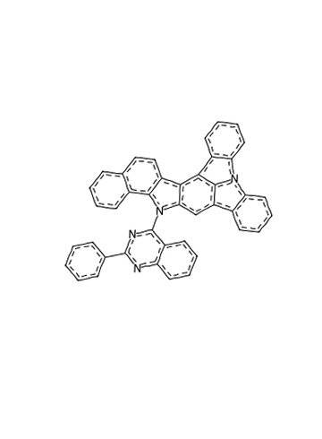 c1ccc(-c2nc(-n3c4cc5c6ccccc6n6c7ccccc7c(c4c4ccc7ccccc7c43)c56)c3ccccc3n2)cc1